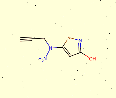 C#CCN(N)c1cc(O)ns1